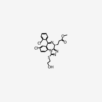 COC(=O)CC[C@@H]1N=C(c2ccccc2Cl)c2cc(Cl)ccc2-n2c(SCCO)nnc21